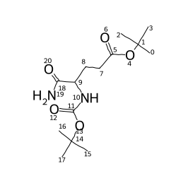 CC(C)(C)OC(=O)CCC(NC(=O)OC(C)(C)C)C(N)=O